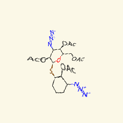 CC(=O)OCC1O[C@@H](S[C@@H]2CCCC(N=[N+]=[N-])C2OC(C)=O)[C@@H](OC(C)=O)C(N=[N+]=[N-])[C@H]1OC(C)=O